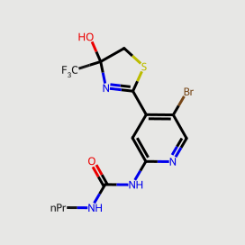 CCCNC(=O)Nc1cc(C2=NC(O)(C(F)(F)F)CS2)c(Br)cn1